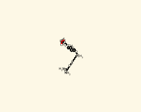 CCCC(OCCCOC1CCC2C3CCc4cc(OCCN(C)CCCCCCSSCCOCCCC(CON)CON)ccc4C3CCC12C)(C(F)(F)F)C(F)(F)F